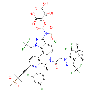 CC(C)(C#Cc1ccc(-c2ccc(Cl)c3c(N(C(=O)O[C@H](C(=O)O)[C@H](O)C(=O)O)S(C)(=O)=O)nn(CC(F)(F)F)c23)c([C@H](Cc2cc(F)cc(F)c2)NC(=O)Cn2nc(C(F)(F)F)c3c2C(F)(F)[C@@H]2C[C@H]32)n1)S(C)(=O)=O